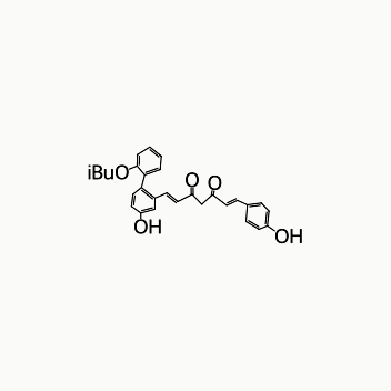 CC(C)COc1ccccc1-c1ccc(O)cc1C=CC(=O)CC(=O)C=Cc1ccc(O)cc1